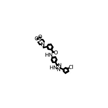 O=C(Nc1ccc(-c2nc(-c3cccc(Cl)c3)n[nH]2)cc1)c1cccc(CN2CCS(=O)(=O)CC2)c1